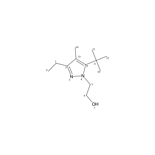 CCc1nn(CCO)c(C(C)(C)C)c1C